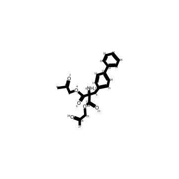 CC(=O)COC(=O)C(N)(Cc1ccc(-c2ccccc2)cc1)C(=O)OCC(C)=O